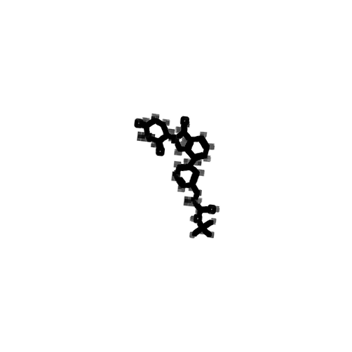 CC(C)(C)OC(=O)NCc1cncc(-c2cccc3c2CN(C2CCC(=O)NC2=O)C3=O)c1